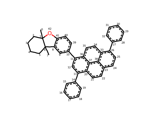 CC12CCCCC1(C)c1cc(-c3cc(-c4ccccc4)c4ccc5ccc(-c6ccccc6)c6ccc3c4c56)ccc1O2